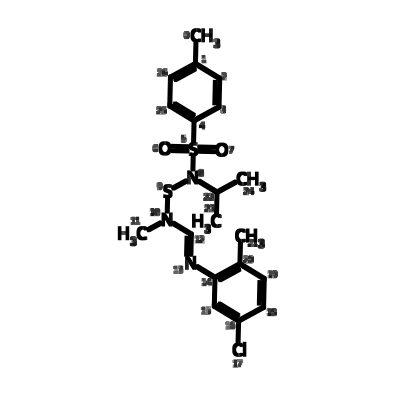 Cc1ccc(S(=O)(=O)N(SN(C)C=Nc2cc(Cl)ccc2C)C(C)C)cc1